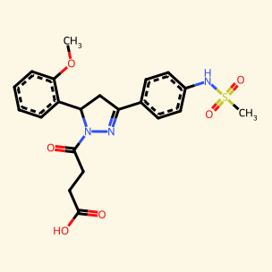 COc1ccccc1C1CC(c2ccc(NS(C)(=O)=O)cc2)=NN1C(=O)CCC(=O)O